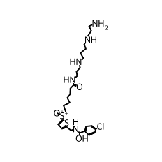 NCCCNCCCCNCCCNC(=O)CCCCCC[S+]([O-])c1ccc(CNC(O)c2ccc(Cl)cc2)s1